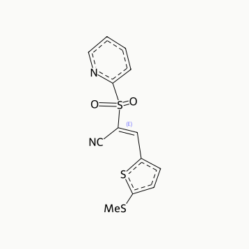 CSc1ccc(/C=C(\C#N)S(=O)(=O)c2ccccn2)s1